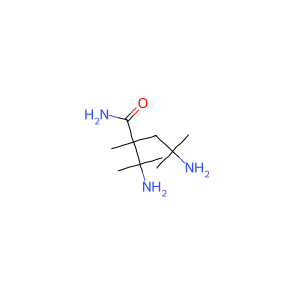 CC(C)(N)CC(C)(C(N)=O)C(C)(C)N